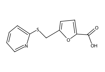 O=C(O)c1ccc(CSc2ccccn2)o1